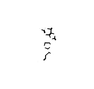 C=CCC(O)[C@H]1O[C@@H](n2c(=O)sc3c(=O)[nH]c(N)nc32)CS1